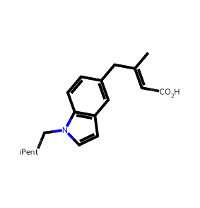 CCCC(C)Cn1ccc2cc(CC(C)=CC(=O)O)ccc21